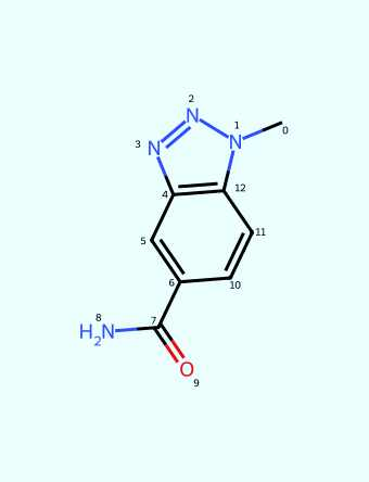 Cn1nnc2cc(C(N)=O)ccc21